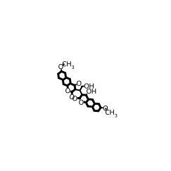 COc1ccc2cc3oc(=O)c(C4c5c(c6cc7cc(OC)ccc7cc6oc5=O)OC4O)c(O)c3cc2c1